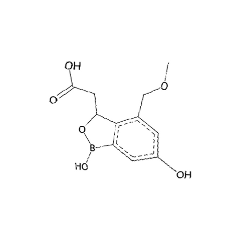 COCc1cc(O)cc2c1C(CC(=O)O)OB2O